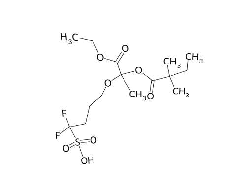 CCOC(=O)C(C)(OCCCC(F)(F)S(=O)(=O)O)OC(=O)C(C)(C)CC